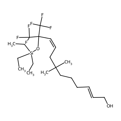 CC[Si](CC)(CC)OC(/C=C\CC(C)(C)CCC/C=C/CO)(C(F)(F)F)C(F)(F)F